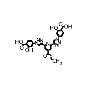 CCSC(=O)c1cc(-c2cn(-c3ccc(C(=O)O)c(O)c3)nn2)nc(-c2cn(-c3ccc(C(=O)O)c(O)c3)nn2)c1